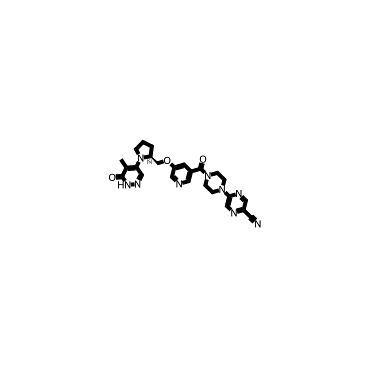 Cc1c(N2CCC[C@H]2COc2cncc(C(=O)N3CCN(c4cnc(C#N)cn4)CC3)c2)cn[nH]c1=O